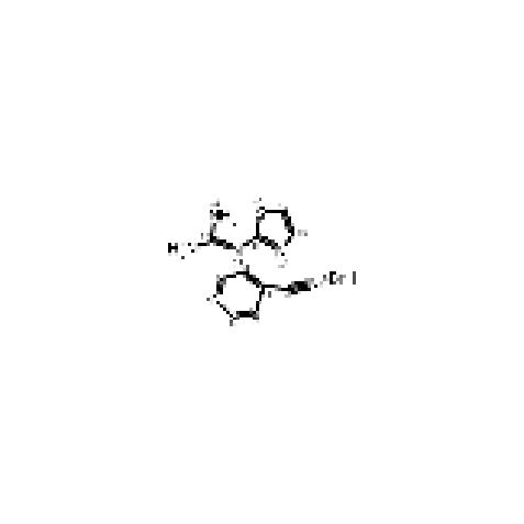 Br.N#Cc1ccncc1.NC(N)=Nc1nccs1